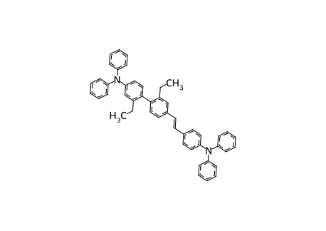 CCc1cc(/C=C/c2ccc(N(c3ccccc3)c3ccccc3)cc2)ccc1-c1ccc(N(c2ccccc2)c2ccccc2)cc1CC